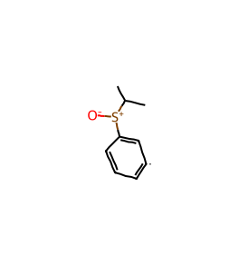 CC(C)[S+]([O-])c1c[c]ccc1